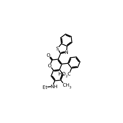 CCNc1cc2oc(=O)c(-c3nc4ccccc4s3)c(-c3ccccc3C(=O)O)c2cc1C